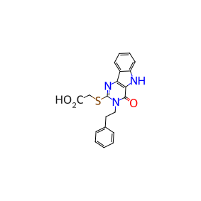 O=C(O)CSc1nc2c([nH]c3ccccc32)c(=O)n1CCc1ccccc1